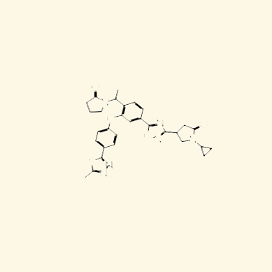 Cc1nnc(-c2ccc(Oc3cc(-c4nc(C5CC(=O)N(C6CC6)C5)no4)ccc3C(C)N3CCCC3=O)cc2)s1